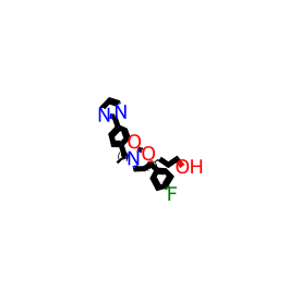 C[C@@H](c1ccc(-c2ncccn2)cc1)N1CC[C@](CCCO)(c2ccc(F)cc2)OC1=O